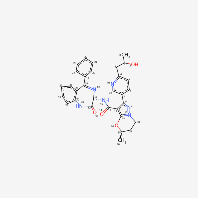 CC(O)Cc1ccc(-c2nn3c(c2C(=O)N[C@H]2N=C(c4ccccc4)c4ccccc4NC2=O)O[C@H](C)CC3)cn1